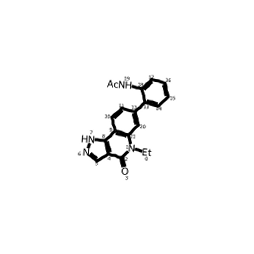 CCn1c(=O)c2cn[nH]c2c2ccc(-c3ccccc3NC(C)=O)cc21